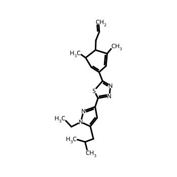 C=CCC1C(C)=CC(c2nnc(-c3cc(CC(C)C)n(CC)n3)s2)=CC1C